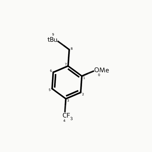 COc1cc(C(F)(F)F)ccc1CC(C)(C)C